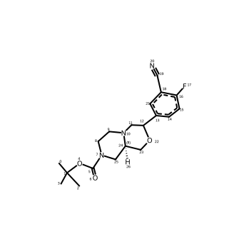 CC(C)(C)OC(=O)N1CCN2CC(c3ccc(F)c(C#N)c3)OC[C@H]2C1